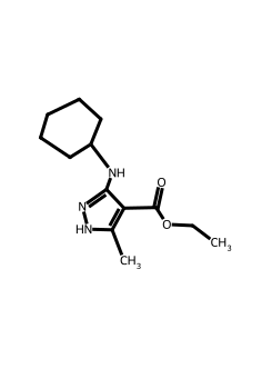 CCOC(=O)c1c(NC2CCCCC2)n[nH]c1C